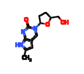 Cc1cc2cn(C3CCC(CO)O3)c(=O)nc2[nH]1